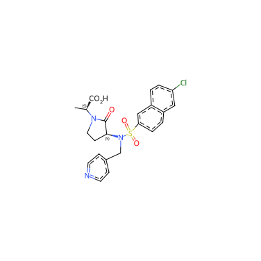 C[C@@H](C(=O)O)N1CC[C@H](N(Cc2ccncc2)S(=O)(=O)c2ccc3cc(Cl)ccc3c2)C1=O